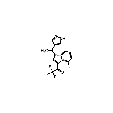 CC(c1cn[nH]c1)n1cc(C(=O)C(F)(F)F)c2c(F)cccc21